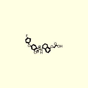 O=C(O)COc1cccc2c1CCCC2NS(=O)(=O)c1ccc(Oc2ccc(F)cc2)cc1Cl